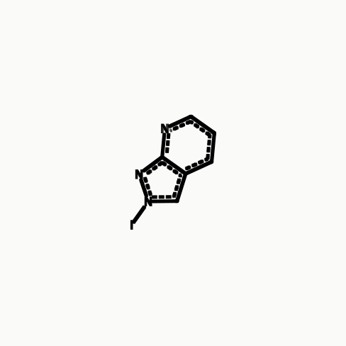 In1cc2cccnc2n1